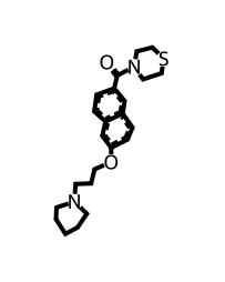 O=C(c1ccc2cc(OCCCN3CCCCC3)ccc2c1)N1CCSCC1